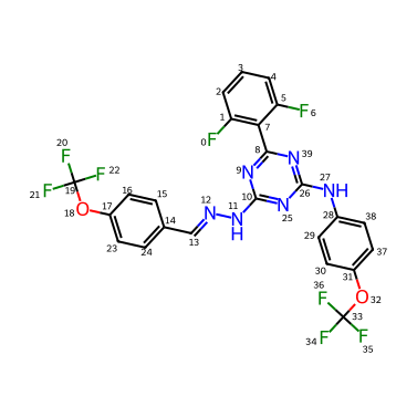 Fc1cccc(F)c1-c1nc(NN=Cc2ccc(OC(F)(F)F)cc2)nc(Nc2ccc(OC(F)(F)F)cc2)n1